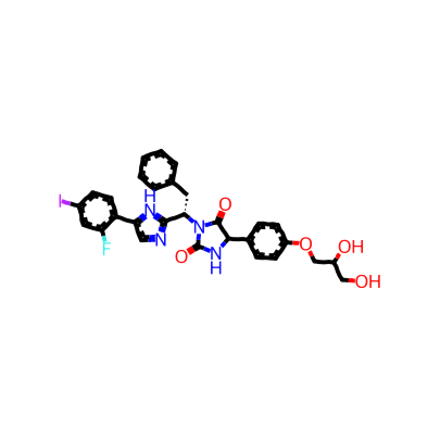 O=C1NC(c2ccc(OCC(O)CO)cc2)C(=O)N1[C@@H](Cc1ccccc1)c1ncc(-c2ccc(I)cc2F)[nH]1